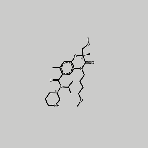 COCCCCN1C(=O)[C@@](C)(COC)Oc2cc(C)c(C(=O)N(C(C)C)[C@@H]3CCCNC3)cc21